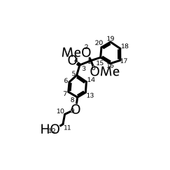 COC(OC)(C(=O)c1ccc(OCCO)cc1)c1ccccc1